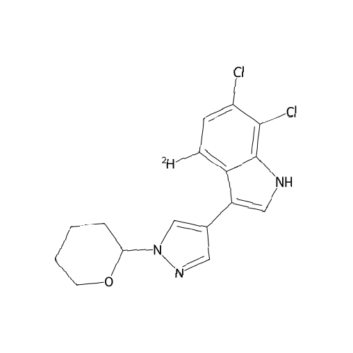 [2H]c1cc(Cl)c(Cl)c2[nH]cc(-c3cnn(C4CCCCO4)c3)c12